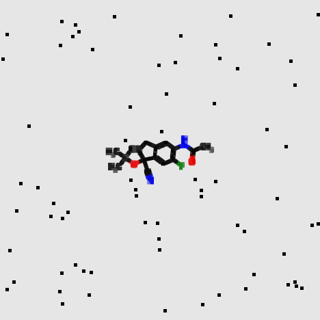 CC(=O)Nc1cc2c(cc1F)C(C#N)(O[Si](C)(C)C)CC2